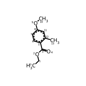 CCOC(=O)c1ccc(OC)cc1C